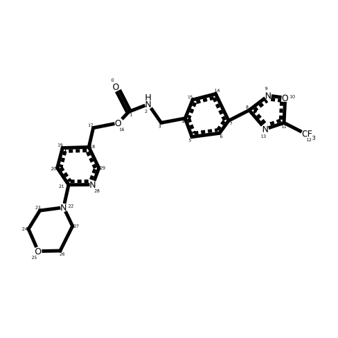 O=C(NCc1ccc(-c2noc(C(F)(F)F)n2)cc1)OCc1ccc(N2CCOCC2)nc1